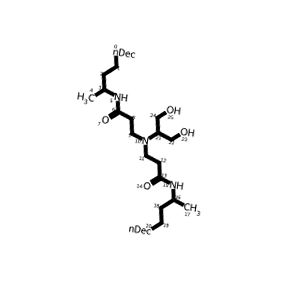 CCCCCCCCCCCCC(C)NC(=O)CCN(CCC(=O)NC(C)CCCCCCCCCCCC)C(CO)CO